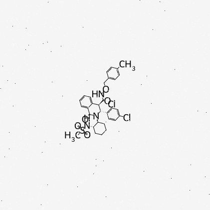 Cc1ccc(CONC(=O)[C@@H]2c3ccccc3C(=O)N([C@H]3CCCC[C@@H]3NS(C)(=O)=O)[C@H]2c2ccc(Cl)cc2Cl)cc1